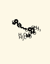 CCN(CC)C(=O)OCN1C(=O)CC(C)(C)c2ccc(OCCCCN3CCN(c4cccc5sccc45)CC3)cc21